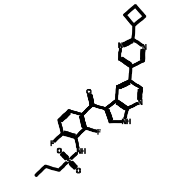 CCCS(=O)(=O)Nc1c(F)ccc(C(=O)c2c[nH]c3ncc(-c4cnc(C5CCC5)nc4)cc23)c1F